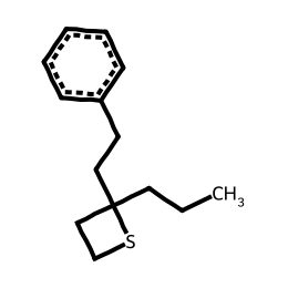 CCCC1(CCc2ccccc2)CCS1